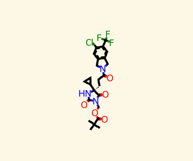 CC(C)(C)C(=O)OCN1C(=O)N[C@@](CCC(=O)N2Cc3cc(Cl)c(C(F)(F)F)cc3C2)(C2CC2)C1=O